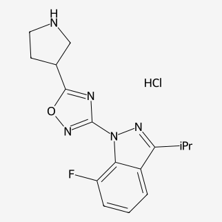 CC(C)c1nn(-c2noc(C3CCNC3)n2)c2c(F)cccc12.Cl